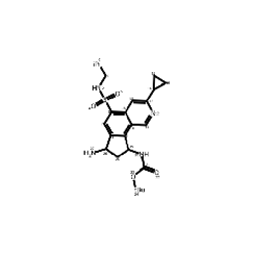 CC(C)CNS(=O)(=O)c1cc2c(c3cnc(C4CC4)cc13)C(NC(=O)OC(C)(C)C)CC2N